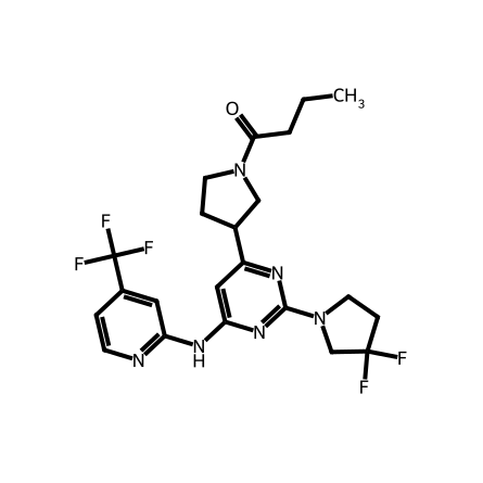 CCCC(=O)N1CCC(c2cc(Nc3cc(C(F)(F)F)ccn3)nc(N3CCC(F)(F)C3)n2)C1